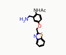 CC(=O)Nc1ccc(OCc2nc3ccccc3s2)cc1CN